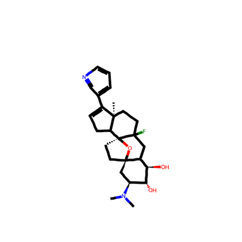 CN(C)[C@H]1C[C@@]23CC[C@]4(O2)C2CC=C(c5cccnc5)[C@@]2(C)CCC4(F)CC3[C@@H](O)[C@@H]1O